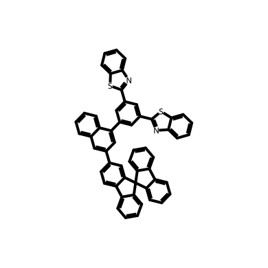 c1ccc2c(c1)-c1ccccc1C21c2ccccc2-c2ccc(-c3cc(-c4cc(-c5nc6ccccc6s5)cc(-c5nc6ccccc6s5)c4)c4ccccc4c3)cc21